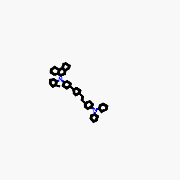 Cc1ccccc1N(c1ccc(-c2ccc(/C=C/c3ccc(N(c4ccccc4)c4ccccc4)cc3)cc2)cc1)c1cc2ccccc2c2ccccc12